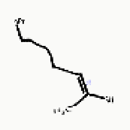 CCCCCC/C=C(\C)S